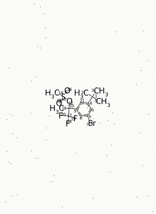 CC(C)(C)c1cc(Br)cc(C(C)(OS(C)(=O)=O)C(F)(F)F)c1